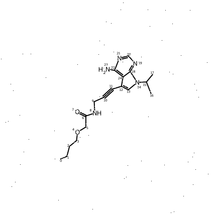 CCCCOCC(=O)NCC#Cc1cn(C(C)C)c2ncnc(N)c12